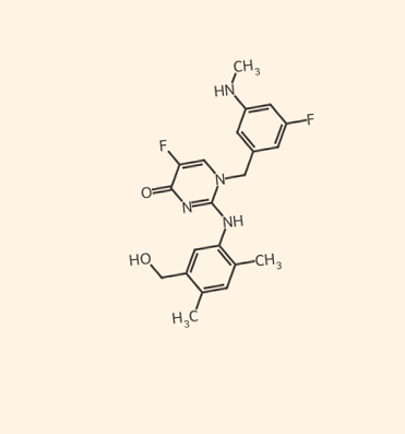 CNc1cc(F)cc(Cn2cc(F)c(=O)nc2Nc2cc(CO)c(C)cc2C)c1